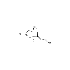 CCC1=C[C@H]2C(=CC=N)C[C@@]2(N)C1